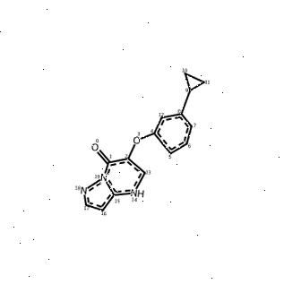 O=c1c(Oc2cccc(C3CC3)c2)c[nH]c2ccnn12